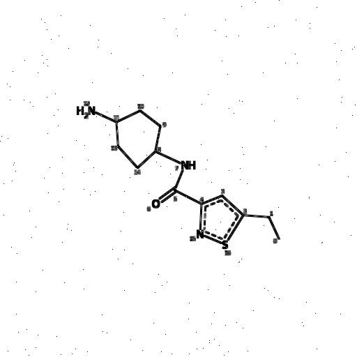 CCc1cc(C(=O)NC2CCC(N)CC2)ns1